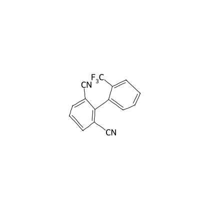 N#Cc1cccc(C#N)c1-c1ccccc1C(F)(F)F